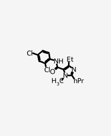 CCCc1nc(CC)c(C(=O)Nc2ccc(Cl)cc2Cl)n1C